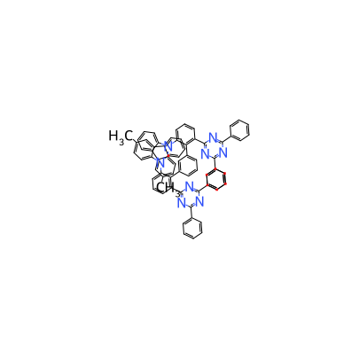 Cc1ccc2c(c1)c1ccccc1n2-c1cccc(-c2nc(-c3ccccc3)nc(-c3ccccc3)n2)c1-c1cccc(-c2c(-c3nc(-c4ccccc4)nc(-c4ccccc4)n3)cccc2-n2c3ccccc3c3cc(C)ccc32)c1